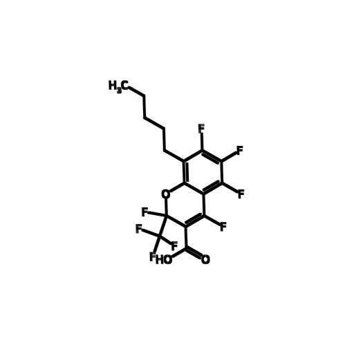 CCCCCc1c(F)c(F)c(F)c2c1OC(F)(C(F)(F)F)C(C(=O)O)=C2F